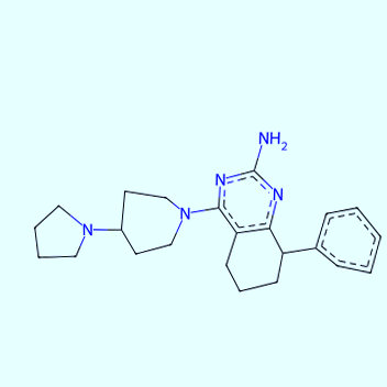 Nc1nc2c(c(N3CCC(N4CCCC4)CC3)n1)CCCC2c1ccccc1